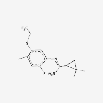 B/C(=N\c1cc(SCC(F)(F)F)c(C)cc1F)C1CC1(C)C